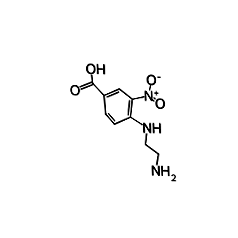 NCCNc1ccc(C(=O)O)cc1[N+](=O)[O-]